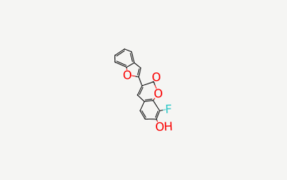 O=c1oc2c(F)c(O)ccc2cc1-c1cc2ccccc2o1